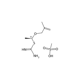 C=C(C)CO[C@H](C)SC(=N)N.CS(=O)(=O)O